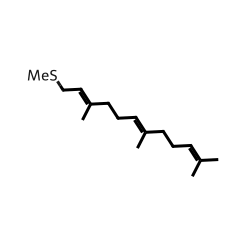 CSC/C=C(\C)CC/C=C(\C)CCC=C(C)C